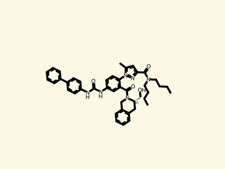 CCCCN(CCCC)C(=O)c1cc(C)n(-c2ccc(NC(=O)Nc3ccc(-c4ccccc4)cc3)cc2C(=O)N2Cc3ccccc3C[C@H]2CO)n1